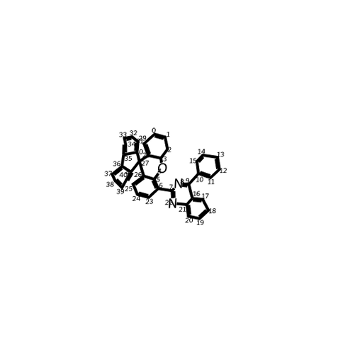 C1=CCC2Oc3c(-c4nc(-c5ccccc5)c5ccccc5n4)cccc3C3(C2=C1)c1ccccc1-c1ccccc13